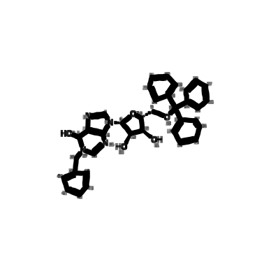 OC1c2ncn([C@@H]3O[C@H](COC(c4ccccc4)(c4ccccc4)c4ccccc4)[C@@H](O)[C@H]3O)c2N=CN1Cc1ccccc1